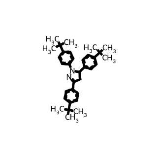 CC(C)(C)c1ccc(C2=NN(c3ccc(C(C)(C)C)cc3)C(c3ccc(C(C)(C)C)cc3)C2)cc1